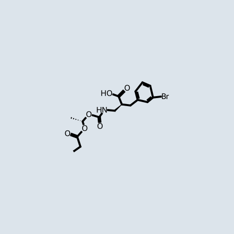 CCC(=O)O[C@H](C)OC(=O)NC[C@H](Cc1cccc(Br)c1)C(=O)O